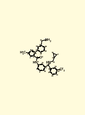 Cc1cc(C(=O)Nc2cccc(C(NCC3CC3)c3cccc(C(F)(F)F)c3)c2)n(-c2cccc(CN)c2)n1